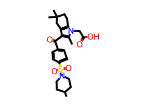 Cc1c(C(=O)c2ccc(S(=O)(=O)N3CCC(C)CC3)cc2)c2c(n1CC(=O)O)CCC(C)(C)C2